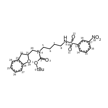 CC(C)(C)OC(=O)N(CCCCNS(=O)(=O)c1cccc([N+](=O)[O-])c1)CC1Cc2ccccc2O1